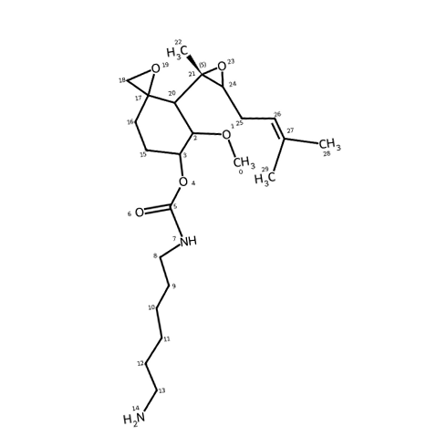 COC1C(OC(=O)NCCCCCCN)CCC2(CO2)C1[C@]1(C)OC1CC=C(C)C